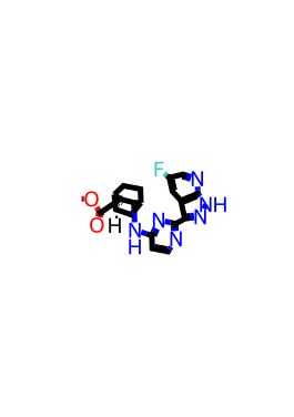 COC(=O)[C@H]1C2CCC(CC2)C1Nc1ccnc(-c2n[nH]c3ncc(F)cc23)n1